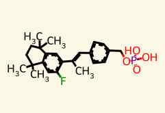 CC(=Cc1ccc(COP(=O)(O)O)cc1)c1cc2c(cc1F)C(C)(C)CCC2(C)C